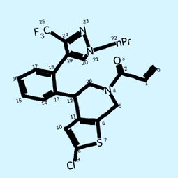 C=CC(=O)N1Cc2sc(Cl)cc2C(c2ccccc2-c2cn(CCC)nc2C(F)(F)F)C1